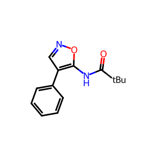 CC(C)(C)C(=O)Nc1oncc1-c1ccccc1